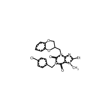 CCc1nc2c(c(=O)n(Cc3ccc(Cl)cc3)c(=O)n2CC2COc3ccccc3O2)n1C